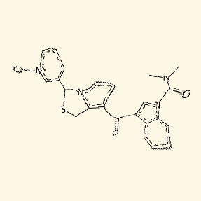 CN(C)C(=O)n1cc(C(=O)c2ccn3c2CSC3c2ccc[n+]([O-])c2)c2ccccc21